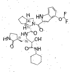 O=C(NC1CCCCC1)C(O)[C@H](C[C@@H]1CCNC1=O)NC(=O)[C@@H]1[C@H]2CCC[C@H]2CN1C(=O)c1cc2c(OC(F)F)cccc2[nH]1